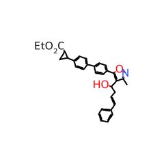 CCOC(=O)C1CC1c1ccc(-c2ccc(-c3onc(C)c3C(O)C/C=C/c3ccccc3)cc2)cc1